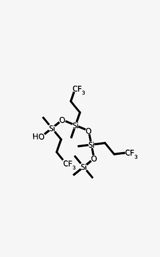 C[Si](C)(C)O[Si](C)(CCC(F)(F)F)O[Si](C)(CCC(F)(F)F)O[Si](C)(O)CCC(F)(F)F